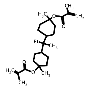 C=C(C)C(=O)OC1(C)CCC(C(C)(CC)C2CCC(C)(OC(=O)C(=C)C)CC2)CC1